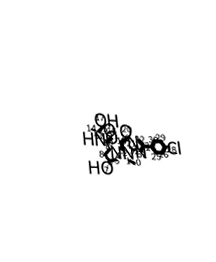 CCn1c(N2C[C@H](O)C[C@H]2C(=O)N[C@@H](C)C(=O)O)cc(=O)n2cc(-c3ccc(Cl)cc3)nc12